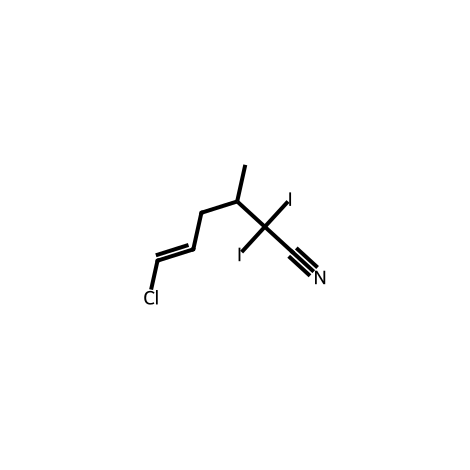 CC(C/C=C/Cl)C(I)(I)C#N